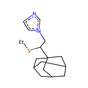 CCSC(Cn1ccnc1)C12CC3CC(CC(C3)C1)C2